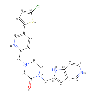 O=C1CN(Cc2ccc(-c3ccc(Cl)s3)cn2)CCN1Cc1cc2cnccc2[nH]1